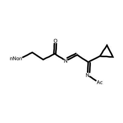 CCCCCCCCCCCC(=O)/N=[C]/C(=NC(C)=O)[C]1CC1